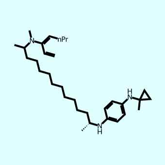 C=C/C(=C\CCC)N(C)C(C)CCCCCCCCCC[C@@H](C)Nc1ccc(NC2(C)CC2)cc1